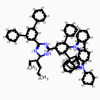 C=CC=C(C=C)C1N=C(c2cc(-c3ccccc3)cc(-c3ccccc3)c2)N=C(c2cc(C3=CCCC=C3)c(-n3c4ccccc4c4ccc5c(c6ccccc6n5-c5ccccc5)c43)c(-c3ccccc3)c2)N1